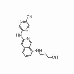 N#Cc1cnc(Nc2cc3cccc(NCCCO)c3cn2)cn1